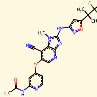 CC(=O)Nc1cc(Oc2cnc3nc(Nc4cc(C(C)(C)C(F)(F)F)on4)n(C)c3c2C#N)ccn1